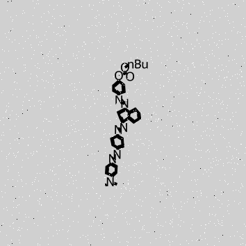 CCCCOC(=O)Oc1ccc(/N=N/c2ccc(/N=N/c3ccc(/N=N/c4ccc(N(C)C)cc4)cc3)c3ccccc23)cc1